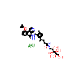 Cc1ccc(C(C)CCCC(=O)NCC(O)C(O)C(O)C(O)CO)cc1CNC1(c2cnccc2-c2ccccc2OC2CC2)CC1.Cl.Cl